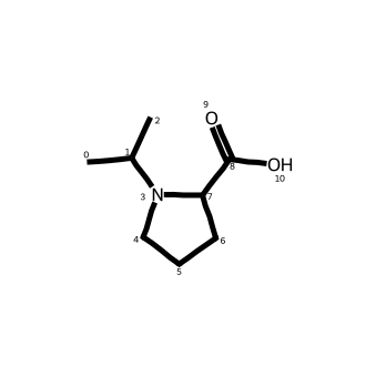 CC(C)N1CCCC1C(=O)O